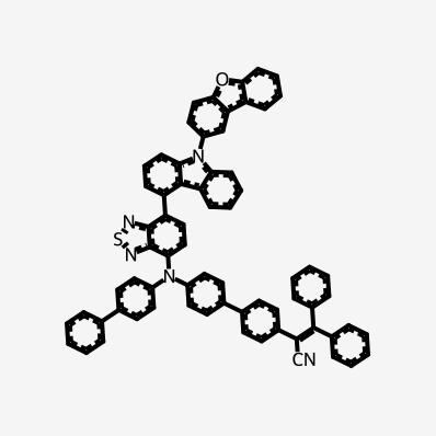 N#CC(=C(c1ccccc1)c1ccccc1)c1ccc(-c2ccc(N(c3ccc(-c4ccccc4)cc3)c3ccc(-c4cccc5c4c4ccccc4n5-c4ccc5oc6ccccc6c5c4)c4nsnc34)cc2)cc1